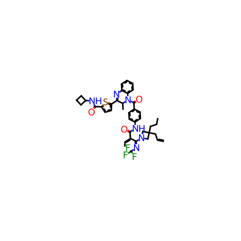 C=CCC1(CCC)CN(C(=N/C(F)(F)F)/C(=C\C)C(=O)Nc2ccc(C(=O)N3c4ccccc4N=C(c4ccc(C(=O)NC5CCC5)s4)C3C)cc2)C1